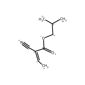 CC=C(C#N)C(=O)OCC(C)C